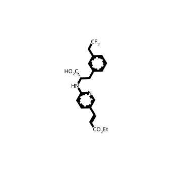 CCOC(=O)/C=C/c1ccc(N[C@@H](Cc2cccc(CC(F)(F)F)c2)C(=O)O)nc1